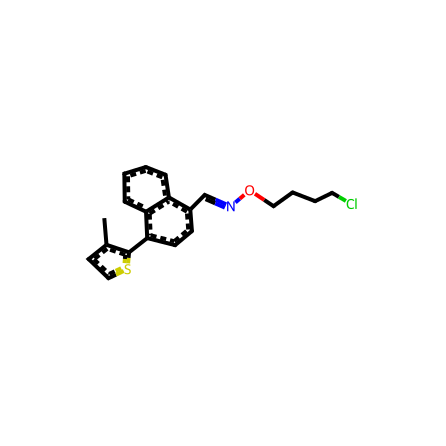 Cc1ccsc1-c1ccc(C=NOCCCCCl)c2ccccc12